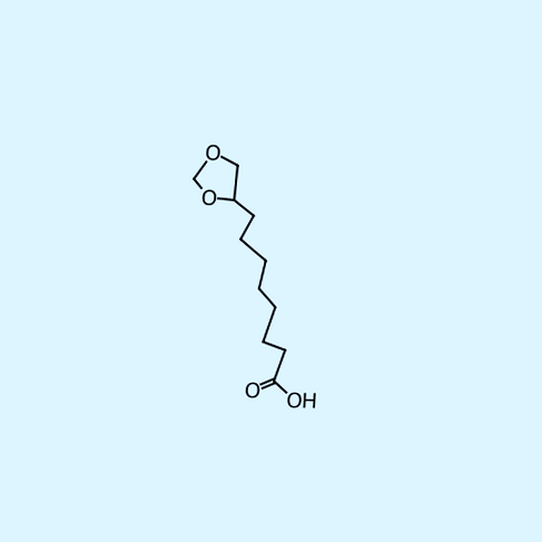 O=C(O)CCCCCCCC1COCO1